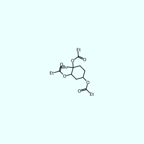 CCCCC1(OC(=O)CC)CCC(OC(=O)CC)CC1OC(=O)CC